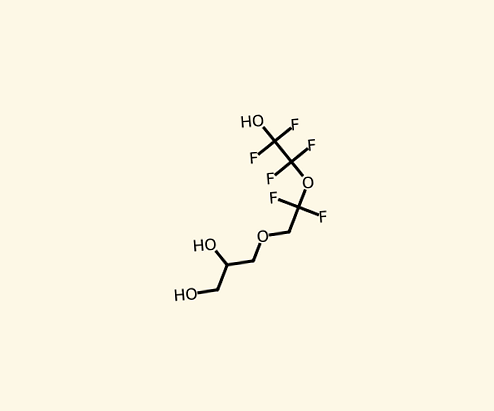 OCC(O)COCC(F)(F)OC(F)(F)C(O)(F)F